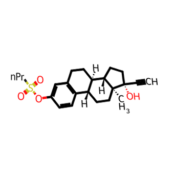 C#C[C@]1(O)CC[C@H]2[C@@H]3CCc4cc(OS(=O)(=O)CCC)ccc4[C@H]3CC[C@@]21C